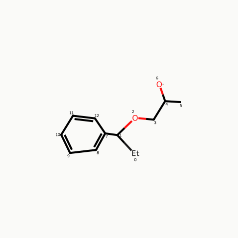 CCC(OCC(C)[O])c1ccccc1